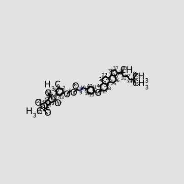 Cc1cc(OCOC(=O)/C=C/c2ccc(OC3CCC4C(CCC5C4CCC4C(C(C)CCCC(C)C)CCC45)C3)cc2)cc(N2C(=O)C3C4C(=O)N(C)C(=O)C4C3C2=O)c1